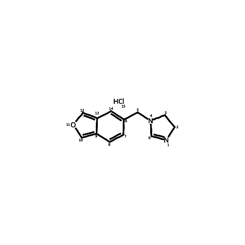 C1=NCCN1Cc1ccc2cocc2c1.Cl